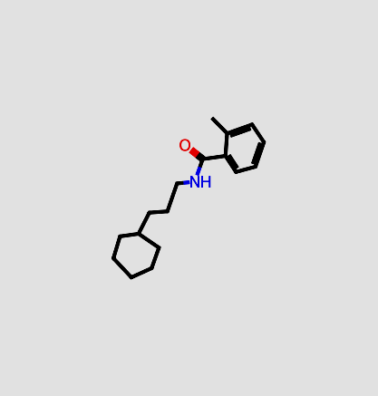 Cc1ccccc1C(=O)NCCCC1CCCCC1